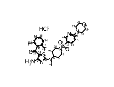 Cl.Nc1nc(NC2CCN(S(=O)(=O)c3ccc(N4CCOCC4)nc3)CC2)sc1C(=O)c1c(F)cccc1F